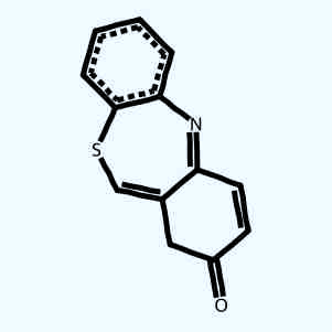 O=C1C=CC2=Nc3ccccc3SC=C2C1